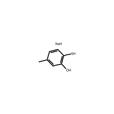 Cc1ccc(S)c(O)c1.[NaH]